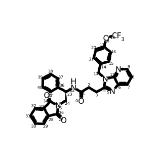 O=C(CCc1nc2cccnc2n1Cc1ccc(OC(F)(F)F)cc1)N[C@@H](CN1C(=O)c2ccccc2C1=O)c1ccccc1